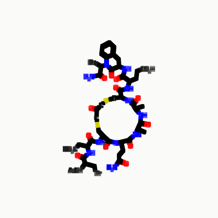 CCC(C)C(NC(=O)C(Cc1ccccc1)NC(=O)C(CCC(=O)O)NC(=O)C1CSCC(=O)CSCC(NC(=O)C(CC(=O)O)NC(=O)C(CC(C)C)NC(C)=O)C(=O)NC(CCC(N)=O)C(=O)NC(C)C(=O)NC(C)C(=O)N1)C(N)=O